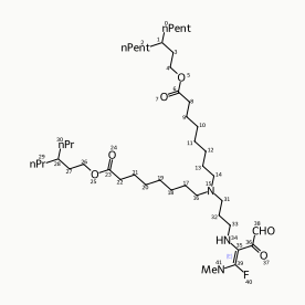 CCCCCC(CCCCC)CCOC(=O)CCCCCCCN(CCCCCCCC(=O)OCCC(CCC)CCC)CCCN/C(C(=O)C=O)=C(/F)NC